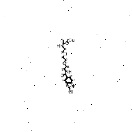 CC(C)(C)OC(=O)NCCOCCOCCNC(=O)c1ccc2nc(Cl)sc2c1